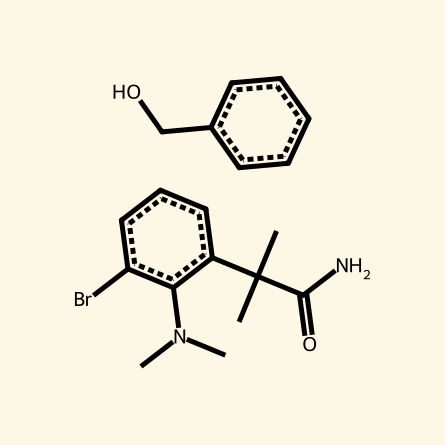 CN(C)c1c(Br)cccc1C(C)(C)C(N)=O.OCc1ccccc1